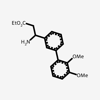 CCOC(=O)CC(N)c1cccc(-c2cccc(OC)c2OC)c1